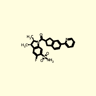 C[C@@H]1c2cc(F)c(S(N)(=O)=O)cc2N(C(=O)C2Cc3ccc(-c4ccccn4)cc3C2)[C@@H]1C